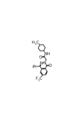 CC1CCC(NC(=O)Cn2nc(C(C)C)c3cc(C(F)(F)F)ccc3c2=O)CC1